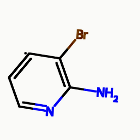 Nc1ncc[c]c1Br